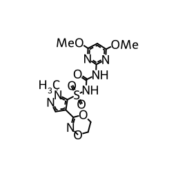 COc1cc(OC)nc(NC(=O)NS(=O)(=O)c2c(C3=NOCCO3)cnn2C)n1